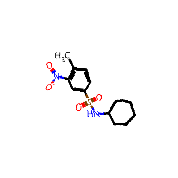 Cc1ccc(S(=O)(=O)NC2CCCCC2)cc1[N+](=O)[O-]